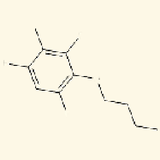 CCCCOc1c(F)cc(F)c(C)c1F